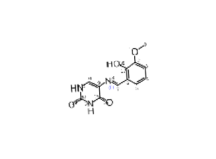 COc1cccc(/C=N/c2c[nH]c(=O)[nH]c2=O)c1O